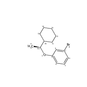 C[C@H](Oc1cccc(Br)c1)C1CCCCC1